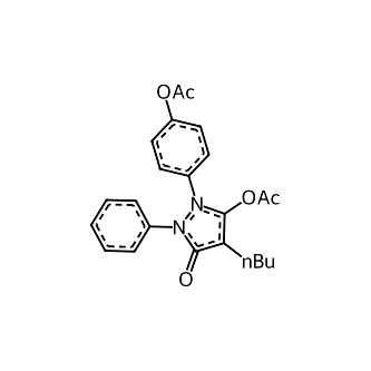 CCCCc1c(OC(C)=O)n(-c2ccc(OC(C)=O)cc2)n(-c2ccccc2)c1=O